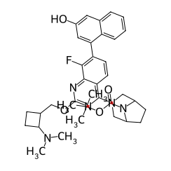 CN(C)C1CCC1COc1nc(N2CC3CCC(C2)N3C(=O)OC(C)(C)C)c2ccc(-c3cc(O)cc4ccccc34)c(F)c2n1